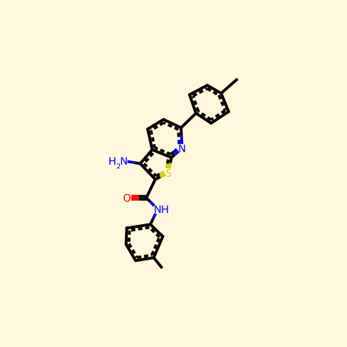 Cc1ccc(-c2ccc3c(N)c(C(=O)Nc4cccc(C)c4)sc3n2)cc1